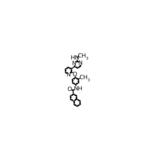 CNc1nccc(-c2cccnc2Oc2ccc(NC(=O)c3ccc4ccccc4c3)cc2C)n1